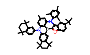 Cc1cc(C)c(N2c3cc(C)cc4c3B(c3cc5c(cc3N4c3ccc4c(c3)C(C)(C)CCC4(C)C)C(C)(C)CCC5(C)C)c3oc4ccc(C(C)(C)C)cc4c32)c(C)c1